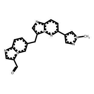 Cn1cc(-c2ccc3ncc(Cc4ccc5ncc(C=O)n5c4)n3n2)cn1